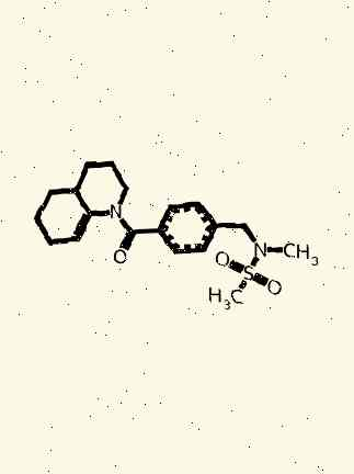 CN(Cc1ccc(C(=O)N2CCCC3CCCC=C32)cc1)S(C)(=O)=O